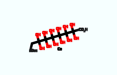 CCCCCCCCCCCC(O)(O)C(O)(O)C(O)(O)C(O)(O)C(O)(O)C(O)(O)C(=O)O.[Ce]